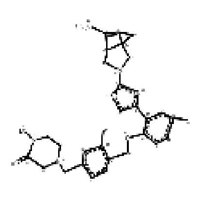 CCN1CCN(Cc2ccc(COc3ccc(C)cc3-c3csc(N4CC5C(C(=O)O)=C6CC65C4)n3)c(C)c2)CC1=O